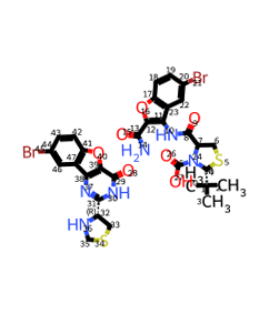 CC(C)(C)[C@H]1SCC(C(=O)Nc2c(C(N)=O)oc3ccc(Br)cc23)N1C(=O)O.O=c1[nH]c([C@@H]2CSCN2)nc2c1oc1ccc(Br)cc12